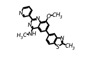 CNc1nc(-c2cccnc2)nc2c(OC)cc(-c3ccc4sc(C)nc4c3)cc12